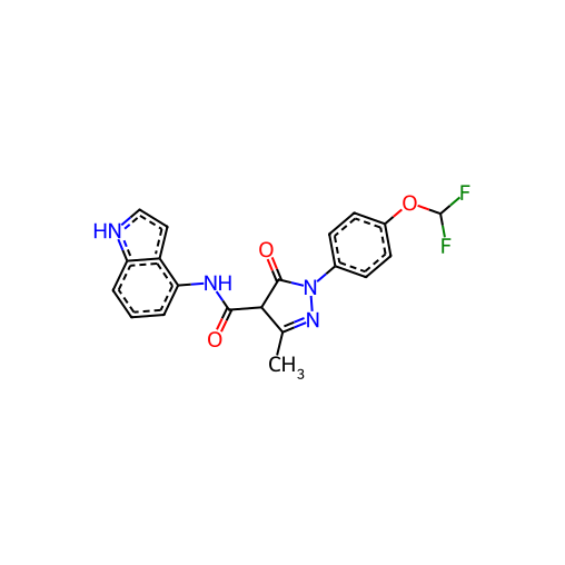 CC1=NN(c2ccc(OC(F)F)cc2)C(=O)C1C(=O)Nc1cccc2[nH]ccc12